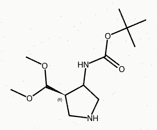 COC(OC)[C@@H]1CNCC1NC(=O)OC(C)(C)C